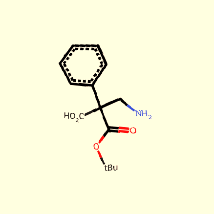 CC(C)(C)OC(=O)C(CN)(C(=O)O)c1ccccc1